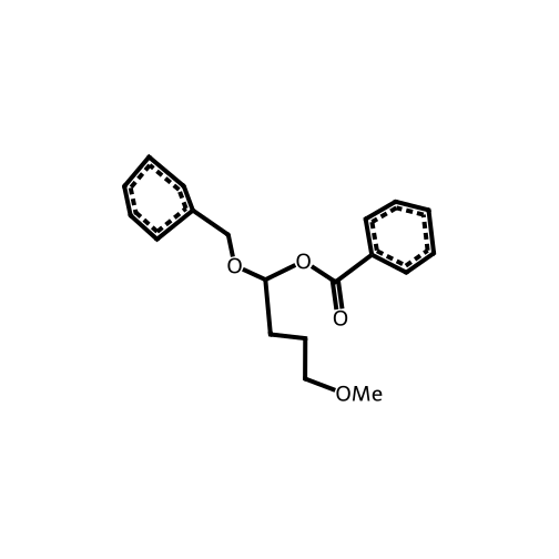 COCCCC(OCc1ccccc1)OC(=O)c1ccccc1